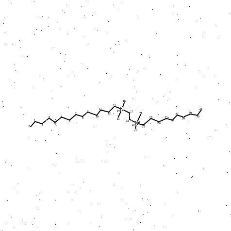 CCCCCCCCCCCCCC[N+](C)(C)CC[N+](C)(C)CCCCCCCCCC